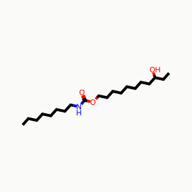 CCCCCCCCNC(=O)OCCCCCCCCC(O)CC